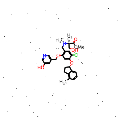 COC(=O)[C@](C)(CO)N(C)Cc1cc(Cl)c(O[C@H]2CCc3c(C)cccc32)cc1OCc1cncc(O)c1